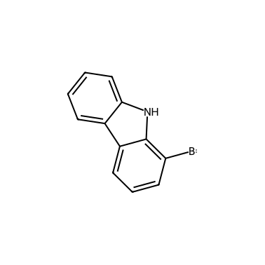 [B]c1cccc2c1[nH]c1ccccc12